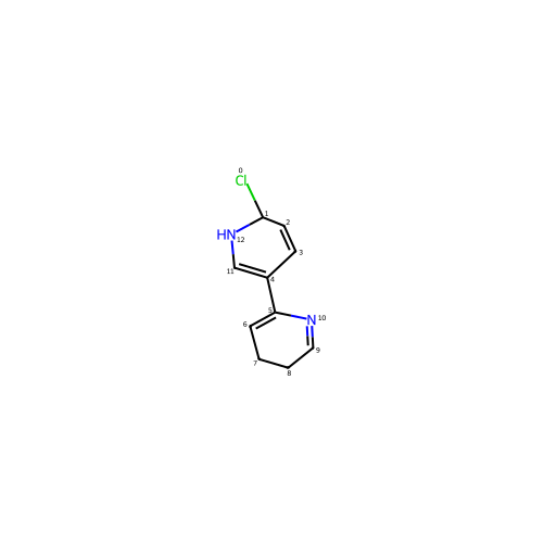 ClC1C=CC(C2=CCCC=N2)=CN1